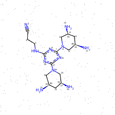 N#CCCNc1nc(N2C[C@H](N)C[C@H](N)C2)nc(N2C[C@H](N)C[C@H](N)C2)n1